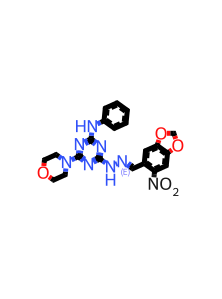 O=[N+]([O-])c1cc2c(cc1/C=N/Nc1nc(Nc3ccccc3)nc(N3CCOCC3)n1)OCO2